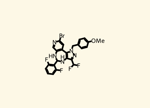 COc1ccc(Cn2nc(C(F)F)c3c2-c2cc(Br)ncc2NC(c2c(F)cccc2F)N3)cc1